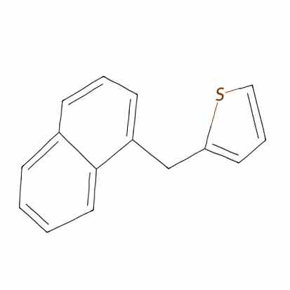 c1csc(Cc2cccc3ccccc23)c1